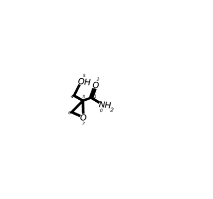 NC(=O)C1(CO)CO1